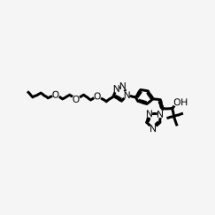 CCCCOCCOCCOCc1cn(-c2ccc(/C=C(/C(O)C(C)(C)C)n3cncn3)cc2)nn1